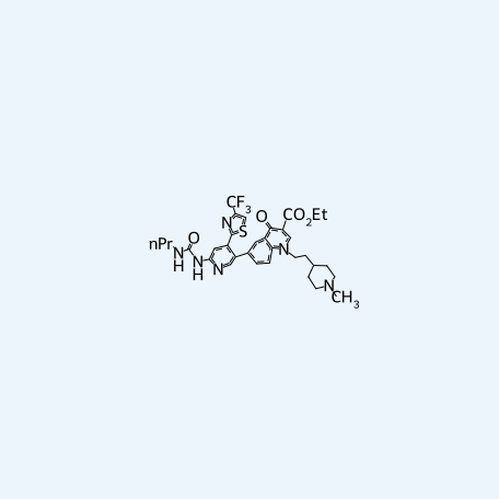 CCCNC(=O)Nc1cc(-c2nc(C(F)(F)F)cs2)c(-c2ccc3c(c2)c(=O)c(C(=O)OCC)cn3CCC2CCN(C)CC2)cn1